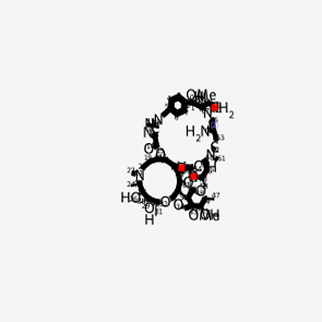 CO[C@@H]1c2ccc(cc2)-n2cc(nn2)C(=O)O[C@]2(C)CCCN(C)[C@H](C)[C@@H](O)[C@](C)(O)[C@@H](I)OC(=O)[C@H](C)[C@@H](O[C@H]3C[C@@](C)(OC)[C@@H](O)[C@H](C)O3)[C@H](C)[C@H]2O[C@H]2C[C@H](C[C@@H](C)O2)N(C)CC/C(N)=C/N(N)[C@@H]1CF